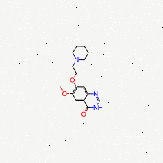 COc1cc2c(=O)[nH]cnc2cc1OCCN1CCCCC1